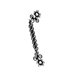 O=C(O/C=C\OOOOOOOOOOOOOCCOC(=O)C(=O)c1ccccc1)C(=O)c1ccccc1